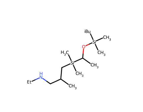 CCNCC(C)C[Si](C)(C)C(C)O[Si](C)(C)C(C)CC